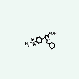 CS(=O)(=O)c1ccc(-c2cc(CO)nn2CC2CCCCC2)cc1